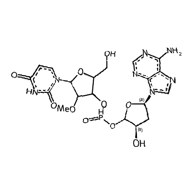 COC1C(O[PH](=O)OC2O[C@@H](n3cnc4c(N)ncnc43)C[C@H]2O)C(CO)OC1n1ccc(=O)[nH]c1=O